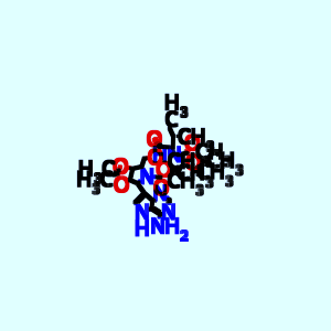 CC[C@H](C)[C@H](NC(=O)OC(C)(C)C)C(=O)OCC1C2OC(C)(C)OC2C(c2c[nH]c3c(N)ncnc23)N1C(=O)OC(C)(C)C